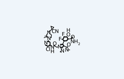 C=Nc1c(C(=O)N(C)C)c(-c2cc(C(N)=O)c(O)c(F)c2F)cn1CC(=O)Nc1cc(N2CCN(CC3(C#N)CC3)C[C@@H]2C)ncc1Cl